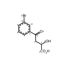 O=C(CC(O)C(=O)O)c1cccc(Br)c1